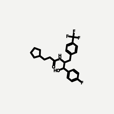 O=C(CCC1CCCC1)NC(Cc1ccc(C(F)(F)F)cc1)C(O)c1ccc(F)cc1